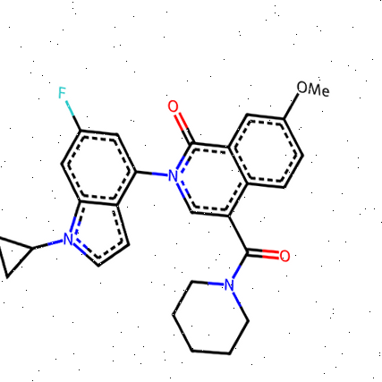 COc1ccc2c(C(=O)N3CCCCC3)cn(-c3cc(F)cc4c3ccn4C3CC3)c(=O)c2c1